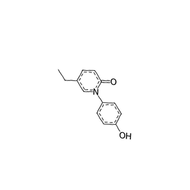 CCc1ccc(=O)n(-c2ccc(O)cc2)c1